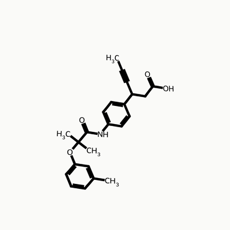 CC#CC(CC(=O)O)c1ccc(NC(=O)C(C)(C)Oc2cccc(C)c2)cc1